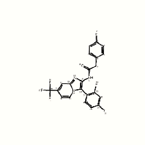 O=C(Cc1ccc(F)cc1)Nc1nc2cc(C(F)(F)F)ccn2c1-c1ccc(F)cc1F